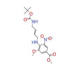 COC(=O)c1cc(OC)c(NCC=CCNC(=O)OC(C)(C)C)c([N+](=O)[O-])c1